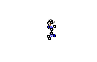 C=C1/C=C\C=C(\c2cccc(-c3cc(-c4ccc(Nc5cccc6ccccc56)c(-c5ccccc5)c4)ccc3Nc3ccccc3)c2)Sc2ccccc21